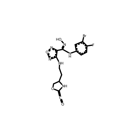 O=C=C1NC(CCNc2nonc2C(=NO)Nc2ccc(F)c(Br)c2)CO1